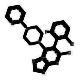 Fc1cccc(Cl)c1-c1c(Cl)nc2ncnn2c1N1CCN(c2ccccn2)CC1